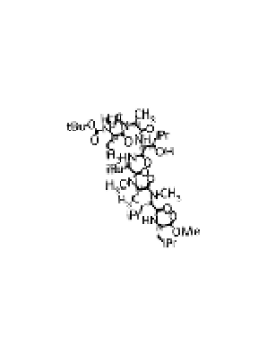 CC[C@H](C)[C@@H](NC(=O)[C@H](NC(=O)[C@@H](C)N(C)C(=O)[C@H](C)N(C)C(=O)OC(C)(C)C)[C@H](O)C(C)C)C(=O)N(C)[C@@H](C)C(=O)N(C)[C@@H](CC(C)C)C(=O)N[C@@H](CC(C)C)C(=O)OC